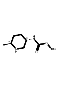 C[C@H]1CC[C@H](NC(=O)OC(C)(C)C)CN1